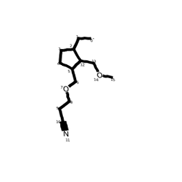 [CH2]CC1C[CH]C(COCCC#N)C1COC